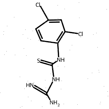 N=C(N)NC(=S)Nc1ccc(Cl)cc1Cl